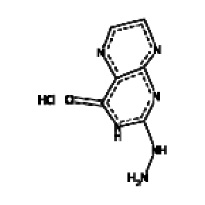 Cl.NNc1nc2nccnc2c(=O)[nH]1